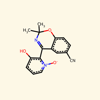 CC1(C)N=C(c2c(O)ccc[n+]2[O-])c2cc(C#N)ccc2O1